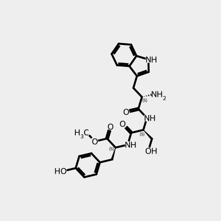 COC(=O)[C@H](Cc1ccc(O)cc1)NC(=O)[C@H](CO)NC(=O)[C@@H](N)Cc1c[nH]c2ccccc12